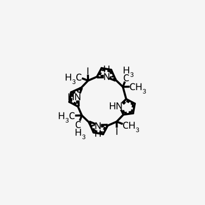 CC1(C)c2ccc([nH]2)C(C)(I)c2ccc([nH]2)C(C)(C)c2ccc([nH]2)C(C)(I)c2ccc1[nH]2